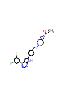 C=CC(=O)N1CC2(CCN(CCc3ccc(-c4cc5c(-c6cc(F)cc(F)c6)ncnc5[nH]4)cc3)CC2)C1